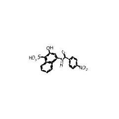 O=C(Nc1cc(O)c(S(=O)(=O)O)c2ccccc12)c1ccc([N+](=O)[O-])cc1